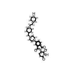 O=C1CCC(N2C(=O)c3ccc(N4CCN(CC5CCN(CCN6CCNCC6)CC5)CC4)cc3C2=O)C(=O)N1